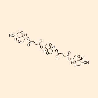 O=C(CCC(=O)O[C@H]1CO[C@H]2[C@@H]1OC[C@H]2OC(=O)CCC(=O)O[C@@H]1CO[C@H]2[C@@H]1OC[C@@H]2O)O[C@H]1CO[C@@H]2[C@H]1OC[C@H]2O